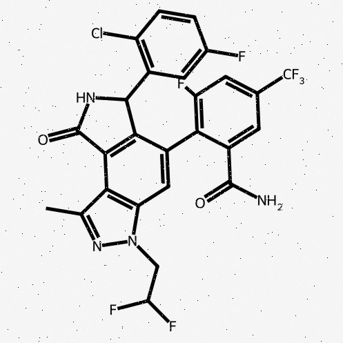 Cc1nn(CC(F)F)c2cc(-c3c(F)cc(C(F)(F)F)cc3C(N)=O)c3c(c12)C(=O)NC3c1cc(F)ccc1Cl